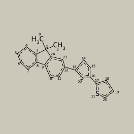 CC1(C)c2ccccc2-c2ccc(-c3ccc(-c4cccs4)s3)cc21